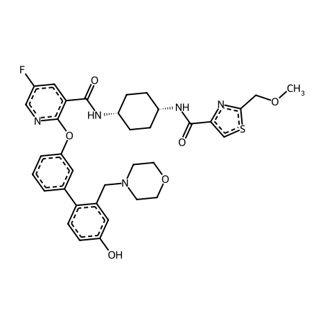 COCc1nc(C(=O)N[C@H]2CC[C@@H](NC(=O)c3cc(F)cnc3Oc3cccc(-c4ccc(O)cc4CN4CCOCC4)c3)CC2)cs1